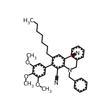 CCCCCCCc1cc(C#N)c(N(Cc2ccccc2)Cc2ccccc2)c(C#N)c1-c1cc(OC)c(OC)c(OC)c1